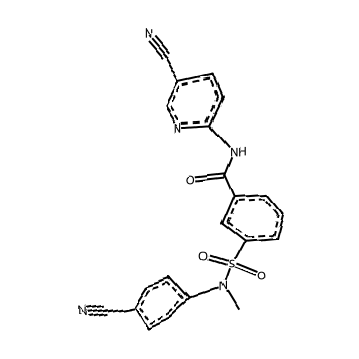 CN(c1ccc(C#N)cc1)S(=O)(=O)c1cccc(C(=O)Nc2ccc(C#N)cn2)c1